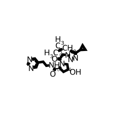 CC(C)(C)[C@@H](C(=O)N1C[C@H](O)C[C@H]1C(=O)NCCc1cncnc1)n1cc(C2CC2)nn1